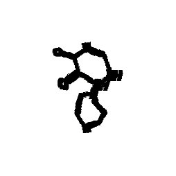 O=c1nc[nH][nH]c1=O.c1cnccn1